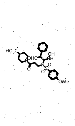 COc1ccc(S(=O)(=O)N(CCC(=O)N2CCC(C(=O)O)CC2)C(NO)C(C=O)c2ccccc2)cc1